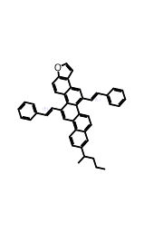 CCCC(C)c1ccc2c(ccc3c2cc(/C=C/c2ccccc2)c2c4ccc5occc5c4cc(/C=C/c4ccccc4)c32)c1